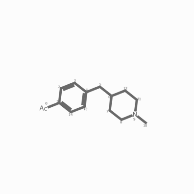 CC(=O)c1ccc(CC2CCN(C)CC2)cc1